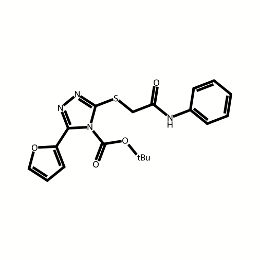 CC(C)(C)OC(=O)n1c(SCC(=O)Nc2ccccc2)nnc1-c1ccco1